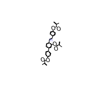 C=C(C)C(=O)Oc1ccc(/C=C/c2ccc(-c3ccc(OC(=O)C(=C)C)cc3)cc2OC(=O)C(=C)C)cc1